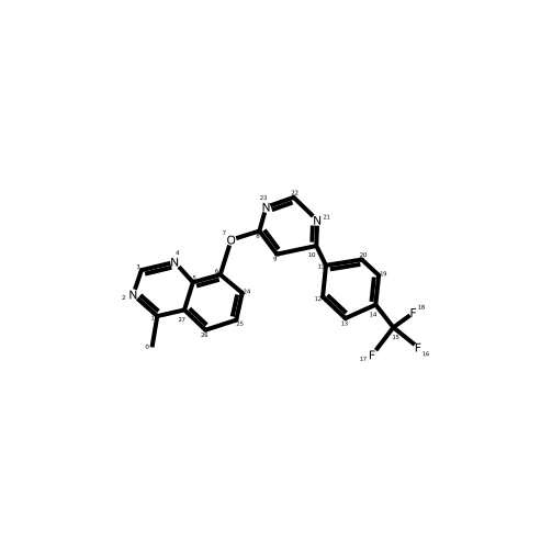 Cc1ncnc2c(Oc3cc(-c4ccc(C(F)(F)F)cc4)ncn3)cccc12